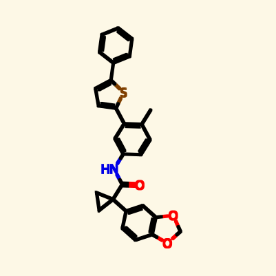 Cc1ccc(NC(=O)C2(c3ccc4c(c3)OCO4)CC2)cc1-c1ccc(-c2ccccc2)s1